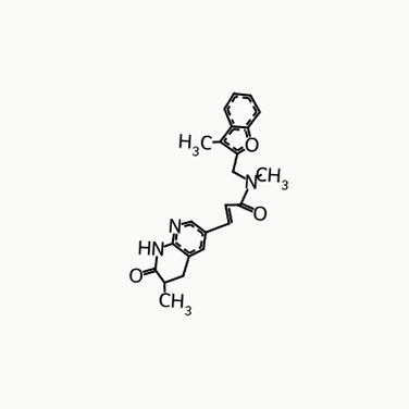 Cc1c(CN(C)C(=O)/C=C/c2cnc3c(c2)CC(C)C(=O)N3)oc2ccccc12